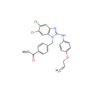 C=CCOc1ccc(Nc2nc3cc(Cl)c(Cl)cc3n2Cc2ccc(C(=O)OC)cc2)cc1